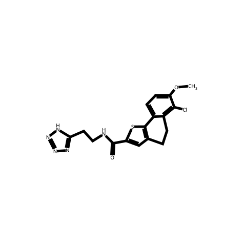 COc1ccc2c(c1Cl)CCc1cc(C(=O)NCCc3nnn[nH]3)sc1-2